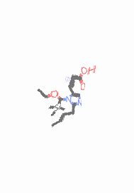 CCCCc1ncc(/C=C\C(=O)O)n1C(OCC)[Si](C)(C)C